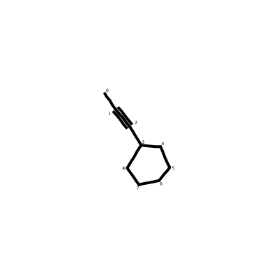 CC#CC1C[CH]CCC1